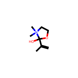 C=C(C)C1(O)OCC[N+]1(C)C